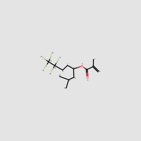 C=C(C)C(=O)OC(CCC(F)(F)C(F)(F)F)CC(C)C